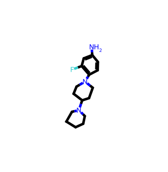 Nc1ccc(N2CCC(N3CCCCC3)CC2)c(F)c1